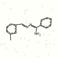 Cc1cccc(C=NN=C(N)c2ccccc2)c1